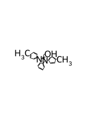 Cc1ccc(-n2c(CO)[n+](-c3ccc(C)cc3)c3ccccc32)cc1